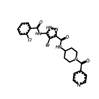 O=C(Nc1[nH]nc(C(=O)NC2CCN(C(=O)c3ccncc3)CC2)c1Br)c1ccccc1Cl